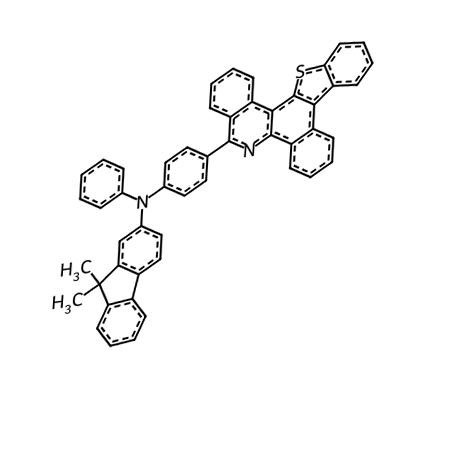 CC1(C)c2ccccc2-c2ccc(N(c3ccccc3)c3ccc(-c4nc5c6ccccc6c6c7ccccc7sc6c5c5ccccc45)cc3)cc21